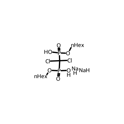 CCCCCCOP(=O)(O)C(Cl)(Cl)P(=O)(O)OCCCCCC.[NaH].[NaH]